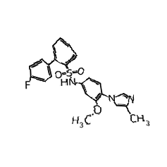 COc1cc(NS(=O)(=O)c2ccccc2-c2ccc(F)cc2)ccc1-n1cnc(C)c1